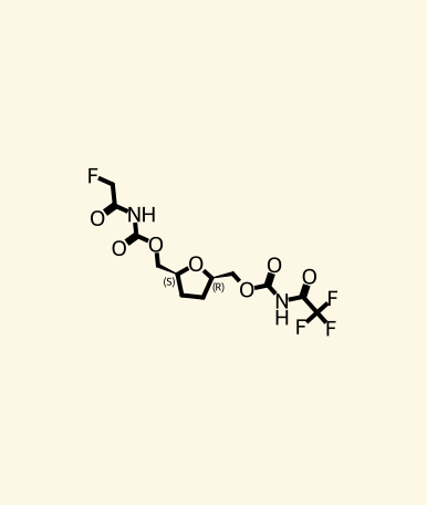 O=C(CF)NC(=O)OC[C@@H]1CC[C@H](COC(=O)NC(=O)C(F)(F)F)O1